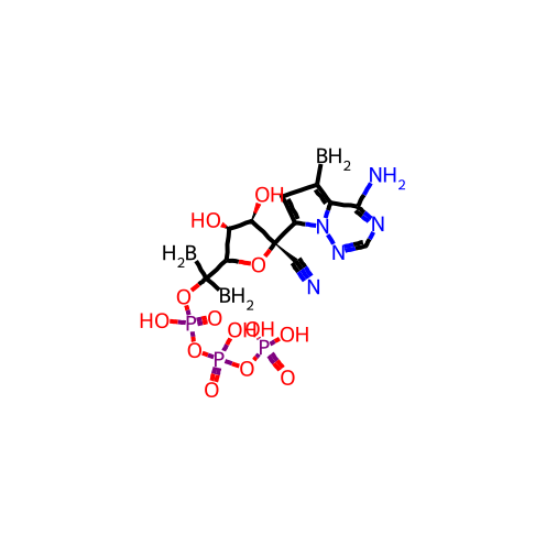 Bc1cc([C@]2(C#N)OC(C(B)(B)OP(=O)(O)OP(=O)(O)OP(=O)(O)O)[C@@H](O)[C@H]2O)n2ncnc(N)c12